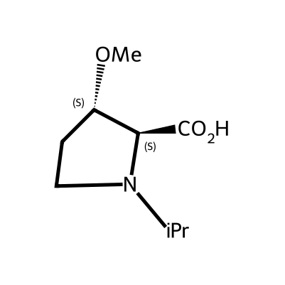 CO[C@H]1CCN(C(C)C)[C@@H]1C(=O)O